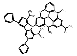 CC(C)c1cc(C(C)C)c(B2c3ccccc3Oc3cc(-n4c5c(C(C)C)cc(-c6ccccc6)cc5c5cc(-c6ccccc6)cc(C(C)C)c54)ccc32)c(C(C)C)c1